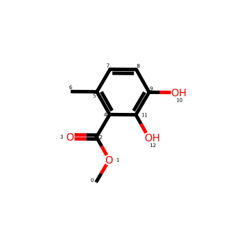 COC(=O)c1c(C)ccc(O)c1O